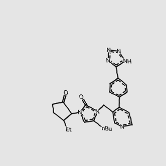 CCCCc1cn(C2C(=O)CCC2CC)c(=O)n1Cc1cnccc1-c1ccc(-c2nnn[nH]2)cc1